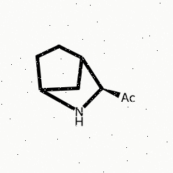 CC(=O)[C@H]1NC2CCC1C2